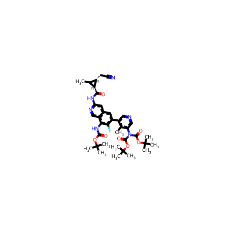 Cc1c(-c2cc3cc(NC(=O)[C@H]4C(C)[C@@H]4CC#N)ncc3c(NC(=O)OC(C)(C)C)c2F)cncc1N(C(=O)OC(C)(C)C)C(=O)OC(C)(C)C